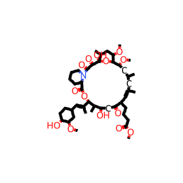 COC(=O)CCCC1/C=C(/C)CC(C)CC(OC)C2OC(O)(C(=O)C(=O)N3CCCCC3C(=O)OC(/C(C)=C/C3CCC(O)C(OC)C3)C(C)C(O)CC1=O)C(C)CC2OC